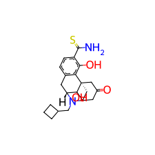 NC(=S)c1ccc2c(c1O)[C@]13CCN(CC4CCC4)[C@H](C2)[C@]1(O)CCC(=O)C3